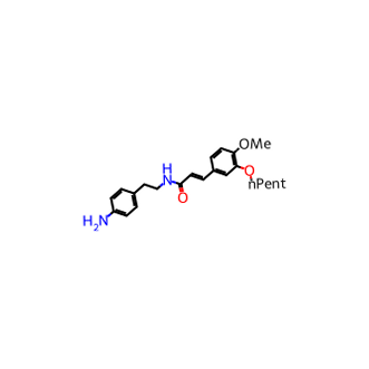 CCCCCOc1cc(C=CC(=O)NCCc2ccc(N)cc2)ccc1OC